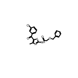 Cc1nc(NC(=O)COCc2ccccc2)sc1C(=O)c1cccc(Cl)c1